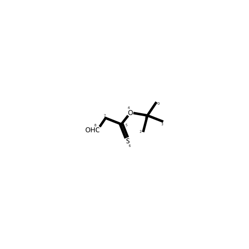 CC(C)(C)OC(=S)CC=O